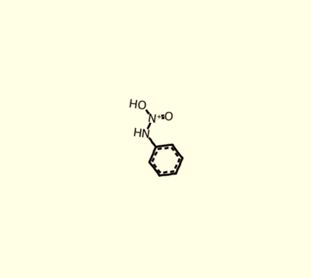 O=[N+](O)Nc1ccccc1